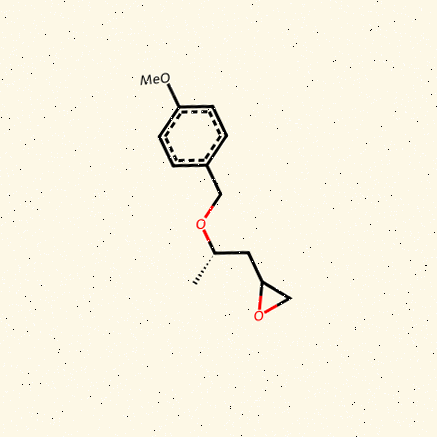 COc1ccc(CO[C@@H](C)CC2CO2)cc1